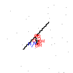 CCCCCCCCCCCC(=O)OC(CCCCCCCCCCC)CC(=O)C(C(=O)O)[C@@H](N)C(=O)O